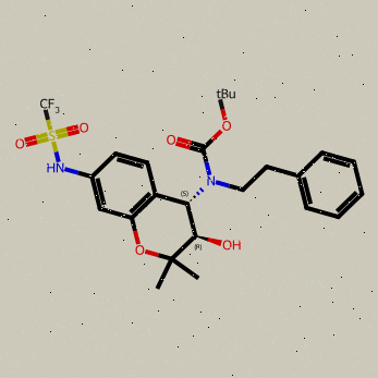 CC(C)(C)OC(=O)N(CCc1ccccc1)[C@H]1c2ccc(NS(=O)(=O)C(F)(F)F)cc2OC(C)(C)[C@@H]1O